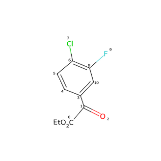 CCOC(=O)C(=O)c1ccc(Cl)c(F)c1